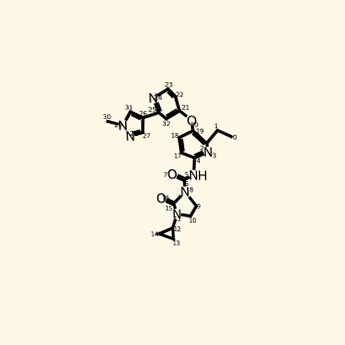 CCc1nc(NC(=O)N2CCN(C3CC3)C2=O)ccc1Oc1ccnc(-c2cnn(C)c2)c1